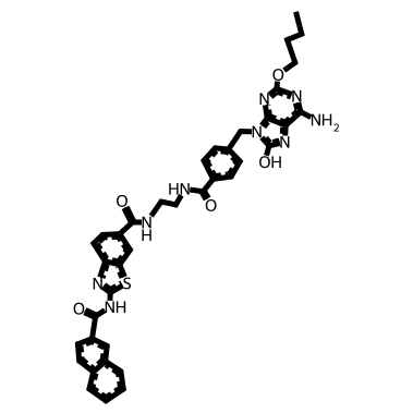 CCCCOc1nc(N)c2nc(O)n(Cc3ccc(C(=O)NCCNC(=O)c4ccc5nc(NC(=O)c6ccc7ccccc7c6)sc5c4)cc3)c2n1